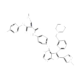 CN/C=C(\C(=O)Nc1ccc(F)cc1)C(=O)Nc1ccc(Oc2ncnc3oc(-c4cnn(C)c4)c(-c4cccc(CN5CCOCC5)c4)c23)cc1